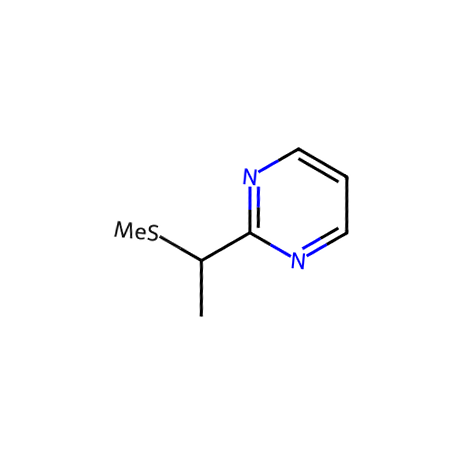 CSC(C)c1ncccn1